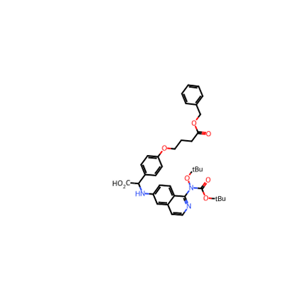 CC(C)(C)OC(=O)N(OC(C)(C)C)c1nccc2cc(NC(C(=O)O)c3ccc(OCCCC(=O)OCc4ccccc4)cc3)ccc12